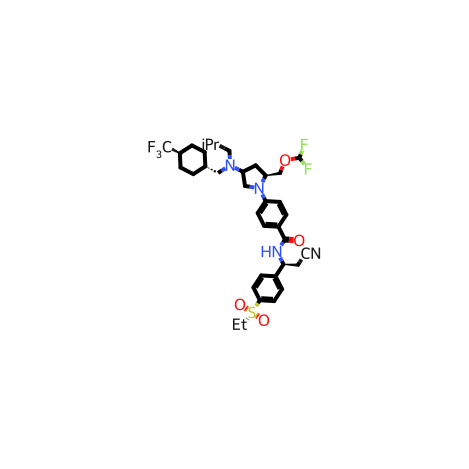 CCS(=O)(=O)c1ccc([C@H](CC#N)NC(=O)c2ccc(N3CC(N(CC(C)C)C[C@H]4CC[C@H](C(F)(F)F)CC4)C[C@H]3COC(F)F)cc2)cc1